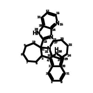 c1ccc2c(C3CCCCCC3(c3nc4ncccc4[nH]3)N3CCCCCC3)[nH]cc2c1